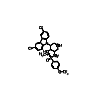 CN=S(=O)(NC1CNCC(n2c3ccc(Cl)cc3c3cc(Cl)ccc32)C1O)c1ccc(OC(F)(F)F)cc1